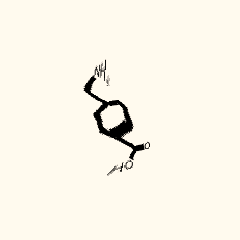 NCC1=CC=C(C(=O)O)CC1